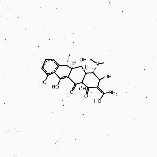 C[C@H]1c2cccc(O)c2C(O)=C2C(=O)[C@]3(O)C(=O)/C(=C(/N)O)C(O)[C@@H](N(C)C)[C@@H]3[C@@H](O)[C@@H]21